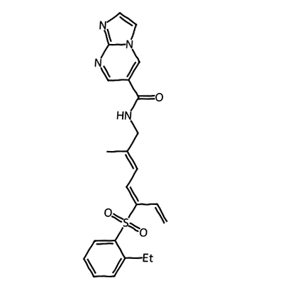 C=C/C(=C\C=C(/C)CNC(=O)c1cnc2nccn2c1)S(=O)(=O)c1ccccc1CC